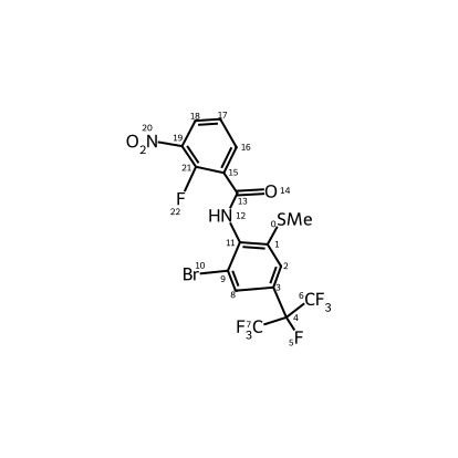 CSc1cc(C(F)(C(F)(F)F)C(F)(F)F)cc(Br)c1NC(=O)c1cccc([N+](=O)[O-])c1F